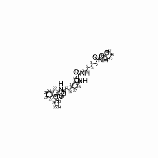 O=C(CCCCCCNC(=O)c1cc2cc(CCC(=O)N[C@@H](Cc3ccccc3)C(=O)OC3CCCC3)ccc2[nH]1)NOC1CCCCO1